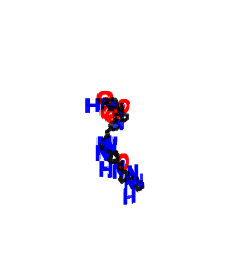 C[C@H]1CCCN1Cc1nc2cc(NC(=O)c3ccc(-c4ncn(CCCC5CCN(c6cccc7c6C(=O)N(C6CCC(=O)NC6=O)C7=O)CC5)n4)cc3)ccc2[nH]1